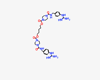 N=C(N)Nc1ccc(CNC(=O)N2CCN(C(=O)OCCCCCOC(=O)N3CCN(C(=O)NCc4ccc(NC(=N)N)cc4)CC3)CC2)cc1